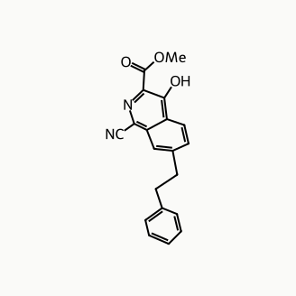 COC(=O)c1nc(C#N)c2cc(CCc3ccccc3)ccc2c1O